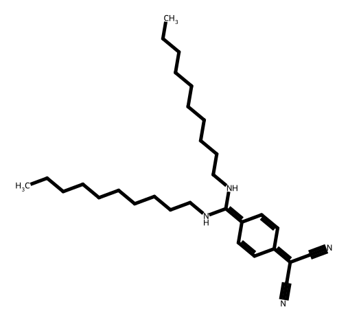 CCCCCCCCCCNC(NCCCCCCCCCC)=c1ccc(=C(C#N)C#N)cc1